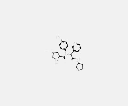 CC(C)(C)c1ccc(N(C(=O)C2CC(O)CN2)C(C(=O)NC2CCCC2)c2cccnc2)cc1